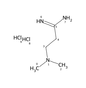 CN(C)CCC(=N)N.Cl.Cl